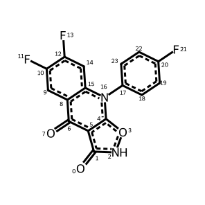 O=c1[nH]oc2c1c(=O)c1cc(F)c(F)cc1n2-c1ccc(F)cc1